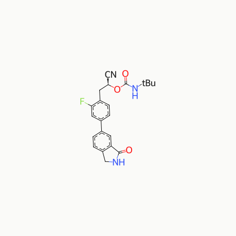 CC(C)(C)NC(=O)O[C@H](C#N)Cc1ccc(-c2ccc3c(c2)C(=O)NC3)cc1F